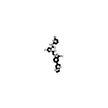 CC(=O)c1nn(CC(=O)N2C[C@H](F)C[C@H]2C(=O)Nc2cccc(Br)n2)c2ccc(-c3cnn4ccnc4c3)cc12